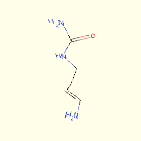 NC=CCNC(N)=O